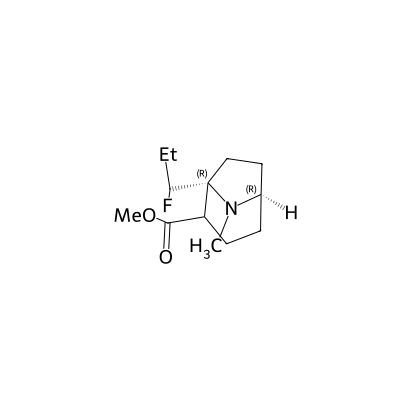 CCC(F)[C@@]12CC[C@@H](CCC1C(=O)OC)N2C